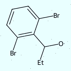 CCC([O])c1c(Br)cccc1Br